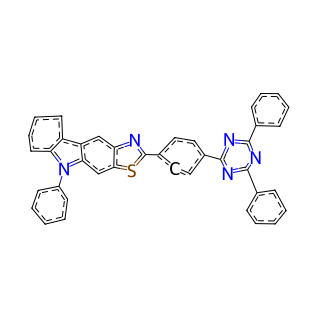 c1ccc(-c2nc(-c3ccccc3)nc(-c3ccc(-c4nc5cc6c7ccccc7n(-c7ccccc7)c6cc5s4)cc3)n2)cc1